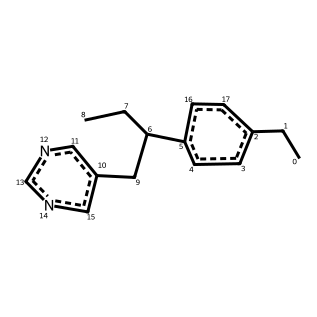 CCc1ccc(C(CC)Cc2cncnc2)cc1